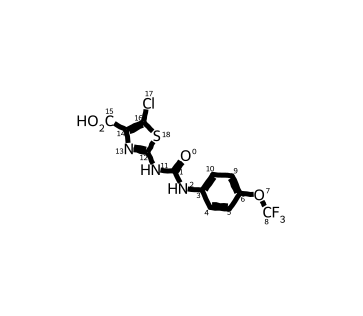 O=C(Nc1ccc(OC(F)(F)F)cc1)Nc1nc(C(=O)O)c(Cl)s1